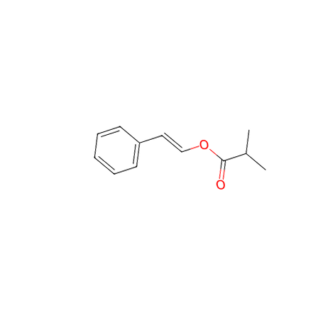 CC(C)C(=O)O/C=C/c1ccccc1